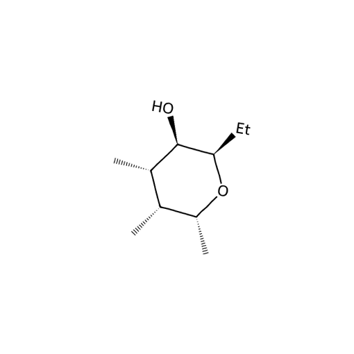 CC[C@H]1O[C@H](C)[C@H](C)[C@H](C)[C@H]1O